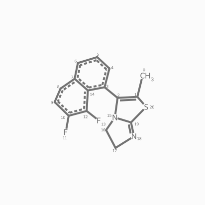 CC1=C(c2cccc3ccc(F)c(F)c23)N2CCN=C2S1